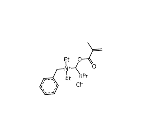 C=C(C)C(=O)OC(CCC)[N+](CC)(CC)Cc1ccccc1.[Cl-]